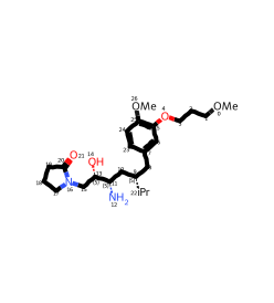 COCCCOc1cc(C[C@@H](C[C@H](N)[C@@H](O)CN2CCCC2=O)C(C)C)ccc1OC